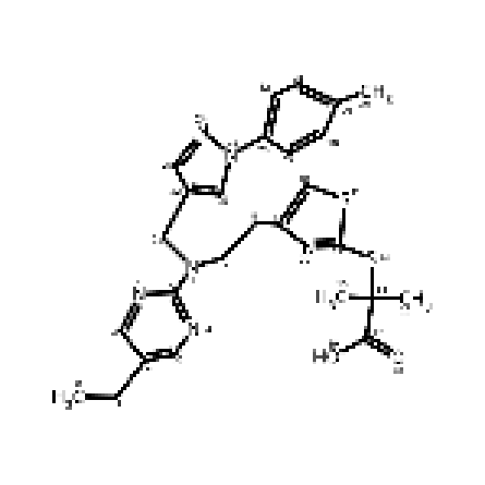 CCc1cnc(N(CCc2csc(SC(C)(C)C(=O)O)n2)Cc2cnn(-c3ccc(C)cc3)c2)nc1